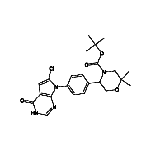 CC(C)(C)OC(=O)N1CC(C)(C)OCC1c1ccc(-n2c(Cl)cc3c(=O)[nH]cnc32)cc1